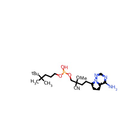 COC(C#N)(CCc1ccc2c(N)ncnn12)COP(O)OCCCC(C)(C)C(C)(C)C